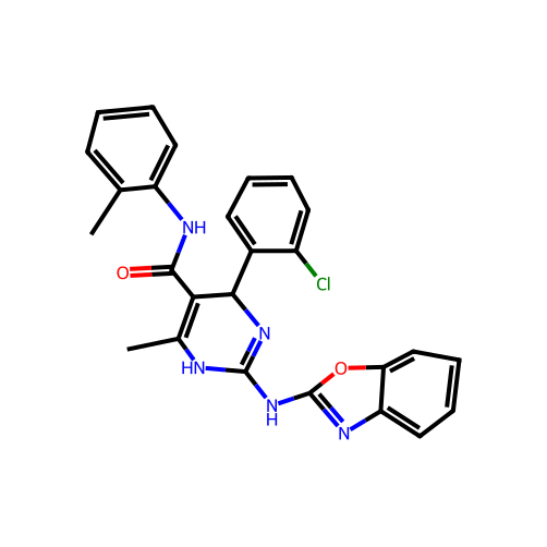 CC1=C(C(=O)Nc2ccccc2C)C(c2ccccc2Cl)N=C(Nc2nc3ccccc3o2)N1